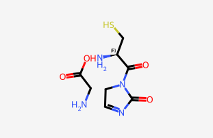 NCC(=O)O.N[C@@H](CS)C(=O)N1CC=NC1=O